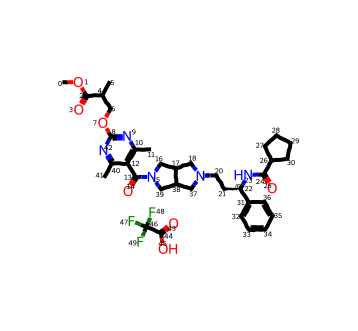 COC(=O)C(C)COc1nc(C)c(C(=O)N2CC3CN(CC[C@@H](NC(=O)C4CCCC4)c4ccccc4)CC3C2)c(C)n1.O=C(O)C(F)(F)F